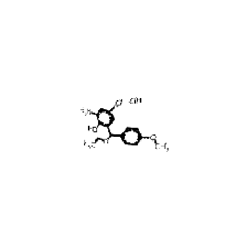 CCOC(c1ccc(OC)cc1)c1cc(Cl)cc(N)c1O.Cl